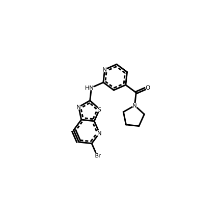 O=C(c1ccnc(Nc2nc3c#cc(Br)nc3s2)c1)N1CCCC1